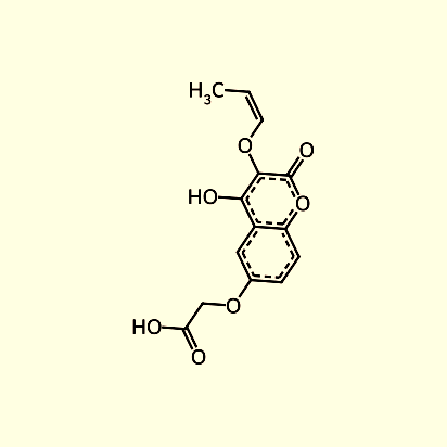 C/C=C\Oc1c(O)c2cc(OCC(=O)O)ccc2oc1=O